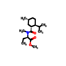 CC[C@H](C(=O)OC)N(C)C(=O)[C@@H]1C[C@H](C)CC[C@H]1C(C)C